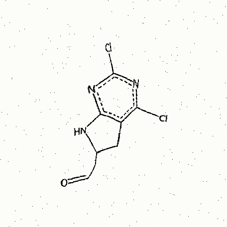 O=CC1Cc2c(Cl)nc(Cl)nc2N1